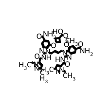 CCn1nc(C)cc1C(=O)Nc1nc2cc(C(N)=O)cc(OC)c2n1CC=CCn1c(NC(=O)c2cc(C)nn2CC)nc2cc(C(N)=O)cc(OC3CC(C(=O)O)C3)c21